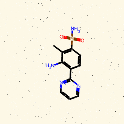 Cc1c(S(N)(=O)=O)ccc(-c2ncccn2)c1N